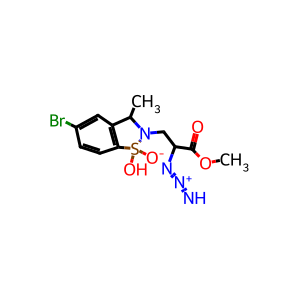 COC(=O)C(CN1C(C)c2cc(Br)ccc2S1([O-])O)N=[N+]=N